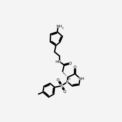 Cc1ccc(S(=O)(=O)N2C=CNC(=O)[C@H]2CC(=O)NCCc2ccc(N)cc2)cc1